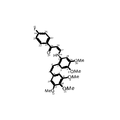 COc1cc(/C=C\c2cc(OC)c(OC)c(OC)c2)c(N/C=C\C(=O)c2ccc(F)cc2)cc1OC